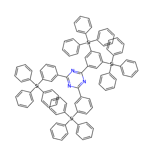 c1ccc([Si](c2ccccc2)(c2ccccc2)c2cccc(-c3nc(-c4cccc([Si](c5ccccc5)(c5ccccc5)c5ccccc5)c4)nc(-c4cc([Si](c5ccccc5)(c5ccccc5)c5ccccc5)cc([Si](c5ccccc5)(c5ccccc5)c5ccccc5)c4)n3)c2)cc1